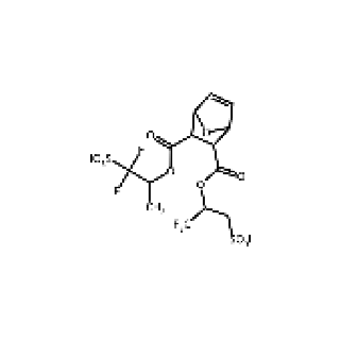 CC(OC(=O)C1C2C=CC(O2)C1C(=O)OC(CS(=O)(=O)O)C(F)(F)F)C(F)(F)S(=O)(=O)O